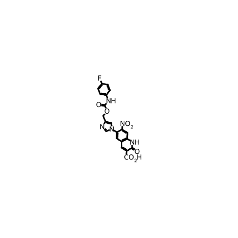 O=C(Nc1ccc(F)cc1)OCc1cn(-c2cc3cc(C(=O)O)c(=O)[nH]c3cc2[N+](=O)[O-])cn1